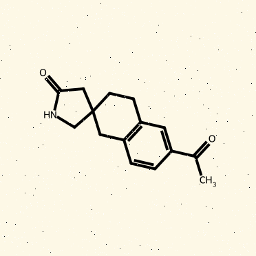 CC(=O)c1ccc2c(c1)CCC1(CNC(=O)C1)C2